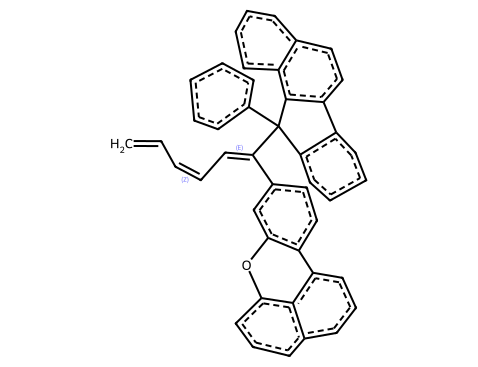 C=C/C=C\C=C(/c1ccc2c(c1)Oc1cccc3cccc-2c13)C1(c2ccccc2)c2ccccc2-c2ccc3ccccc3c21